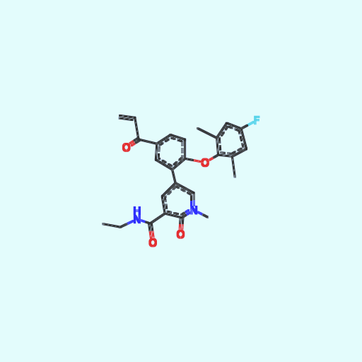 C=CC(=O)c1ccc(Oc2c(C)cc(F)cc2C)c(-c2cc(C(=O)NCC)c(=O)n(C)c2)c1